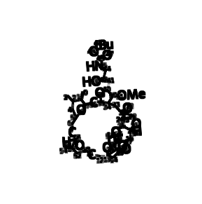 C=C1C(C)CC2CC[C@@H]3OC(CC[C@@]45CC6OC7C(O4)[C@H]4OC(CCC4O[C@H]7C6O5)CC(=O)CC4C(CC1O2)O[C@H](CC(O)CNC(=O)OC(C)(C)C)[C@@H]4OC)CC3=C